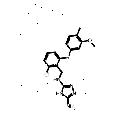 COc1cc(Sc2cccc(Cl)c2CNc2nnc(N)[nH]2)ccc1C